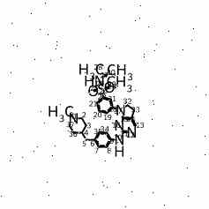 CN1CCC(Cc2ccc(Nc3ncc4c(n3)N(c3cccc(S(=O)(=O)NC(C)(C)C)c3)CC4)cc2)CC1